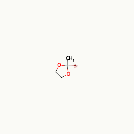 CC1(Br)OCCO1